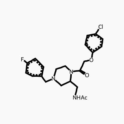 CC(=O)NCC1CN(Cc2ccc(F)cc2)CCN1C(=O)COc1ccc(Cl)cc1